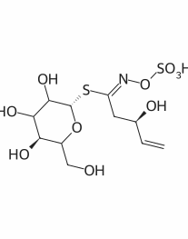 C=C[C@H](O)C/C(=N\OS(=O)(=O)O)S[C@@H]1OC(CO)[C@@H](O)C(O)C1O